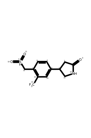 O=C1CC(c2ccc(C[SH](=O)=O)c(C(F)(F)F)c2)CN1